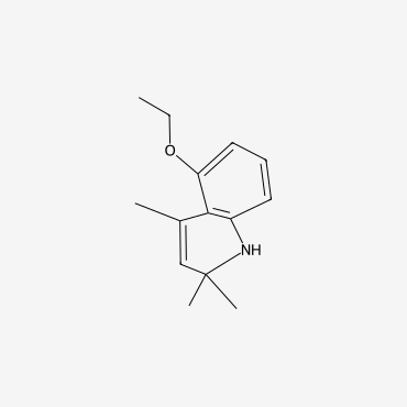 CCOc1cccc2c1C(C)=CC(C)(C)N2